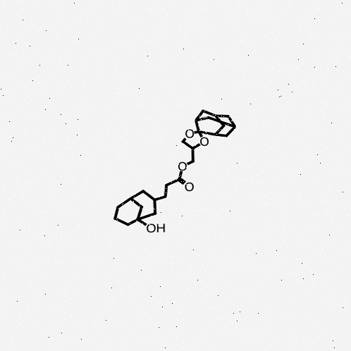 O=C(CCC1CC2CCCC(O)(C2)C1)OCC1COC2(O1)C1CC3CC(C1)CC2C3